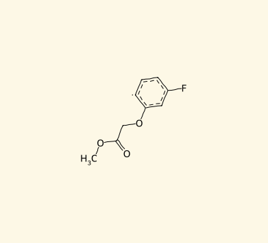 COC(=O)COc1[c]ccc(F)c1